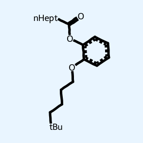 CCCCCCCC(=O)Oc1ccccc1OCCCCC(C)(C)C